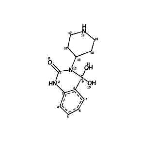 O=C1Nc2ccccc2S(O)(O)N1C1CCNCC1